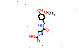 COc1cc(CNC(=O)C2CN(C(=O)O)C2)ccc1O